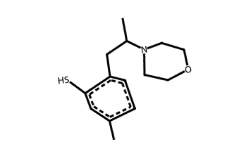 Cc1ccc(CC(C)N2CCOCC2)c(S)c1